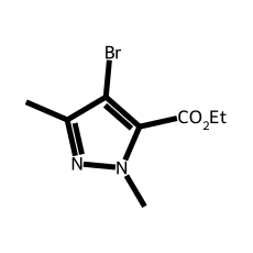 CCOC(=O)c1c(Br)c(C)nn1C